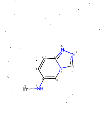 CC(C)Nc1ccc2nncn2c1